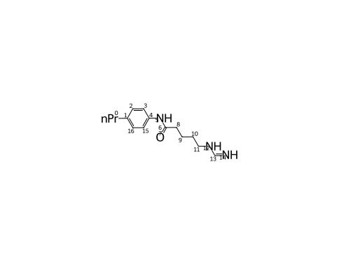 CCCc1ccc(NC(=O)CCCCNC=N)cc1